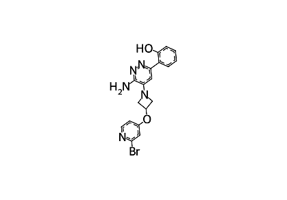 Nc1nnc(-c2ccccc2O)cc1N1CC(Oc2ccnc(Br)c2)C1